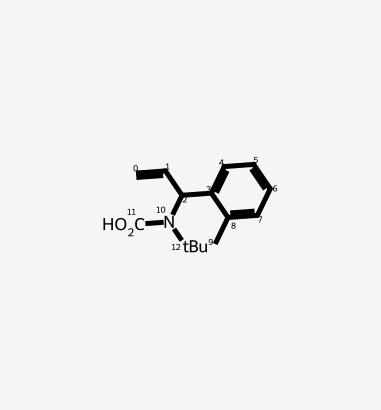 C=CC(c1ccccc1C)N(C(=O)O)C(C)(C)C